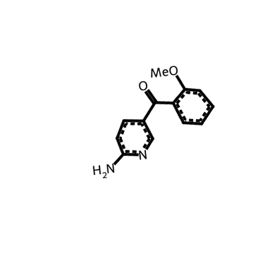 COc1ccccc1C(=O)c1ccc(N)nc1